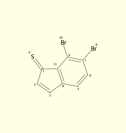 S=C1C=Cc2ccc(Br)c(Br)c21